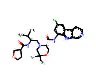 CC(C)[C@@H](CN1CC(C)(C)OC[C@H]1C(=O)Nc1cc(Cl)cc2c1[nH]c1cnccc12)NC(=O)C1CCOC1